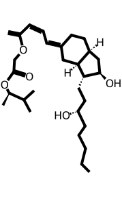 C=C(/C=C\C=C1/CC[C@H]2C[C@@H](O)[C@H](CC[C@@H](O)CCCCC)[C@H]2C1)OCC(=O)O[C@H](C)C(C)C